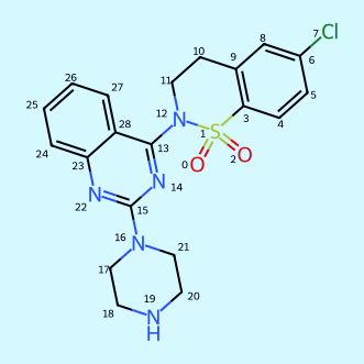 O=S1(=O)c2ccc(Cl)cc2CCN1c1nc(N2CCNCC2)nc2ccccc12